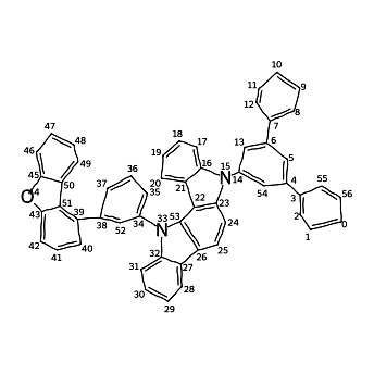 c1ccc(-c2cc(-c3ccccc3)cc(-n3c4ccccc4c4c3ccc3c5ccccc5n(-c5cccc(-c6cccc7oc8ccccc8c67)c5)c34)c2)cc1